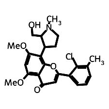 COc1cc(OC)c2c(=O)cc(-c3cccc(C)c3Cl)oc2c1C1CCN(C)C1CO